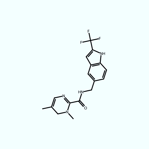 CC1=CN=C(C(=O)NCc2ccc3[nH]c(C(F)(F)F)cc3c2)N(C)C1